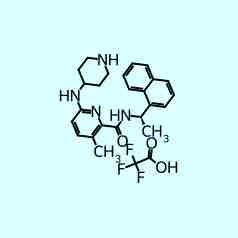 Cc1ccc(NC2CCNCC2)nc1C(=O)N[C@H](C)c1cccc2ccccc12.O=C(O)C(F)(F)F